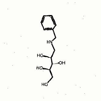 OC[C@@H](O)[C@@H](O)[C@@H](O)CNCc1ccccc1